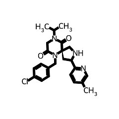 Cc1ccc(C2C[C@]3(CN2)C(=O)N(C(C)C)CC(=O)N3Cc2ccc(Cl)cc2)nc1